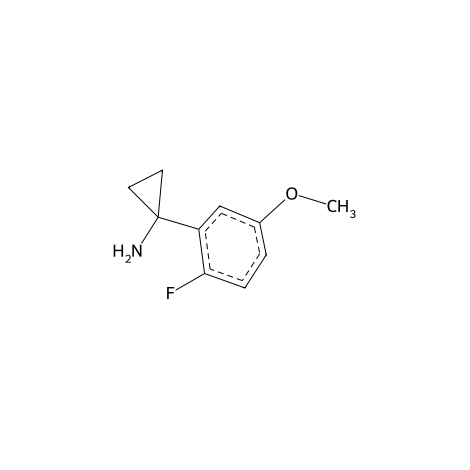 COc1ccc(F)c(C2(N)CC2)c1